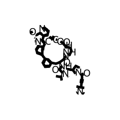 CO[C@@H](C)c1ncccc1-c1c2c3cc(ccc3n1C)-c1cccc(c1)C[C@H](NC(=O)[C@H](C(C)C)N(C)CC1CCN(C(=O)C#CC(C)(C)N(C)C)C1)C(=O)N1CCC[C@H](N1)C(=O)OCC(C)(C)C2